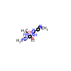 C=CC(=O)Nc1cc(Nc2cc(-c3ccc4c(cnn4C)c3)ncn2)c(OCC)cc1N1CCN(C)CC1